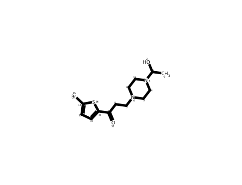 CC(O)N1CCN(CCC(=O)c2ccc(Br)s2)CC1